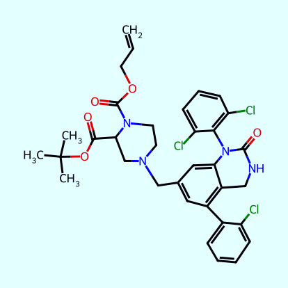 C=CCOC(=O)N1CCN(Cc2cc(-c3ccccc3Cl)c3c(c2)N(c2c(Cl)cccc2Cl)C(=O)NC3)CC1C(=O)OC(C)(C)C